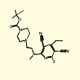 CCc1c(C#N)c(Cl)nc(N(C)CCN2CCN(C(=O)OC(C)(C)C)CC2)c1C#N